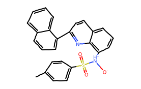 Cc1ccc(S(=O)(=O)[NH+]([O-])c2cccc3ccc(-c4cccc5ccccc45)nc23)cc1